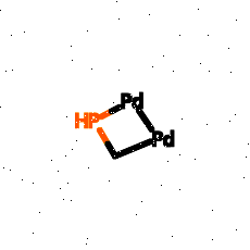 [CH2]1[PH][Pd][Pd]1